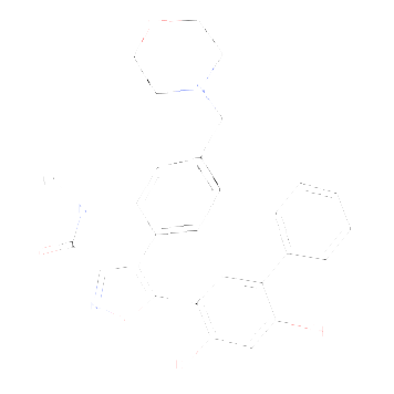 CCNC(=O)c1noc(-c2cc(-c3ccccc3)c(O)cc2O)c1-c1ccc(CN2CCOCC2)cc1